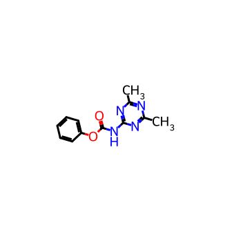 Cc1nc(C)nc(NC(=O)Oc2ccccc2)n1